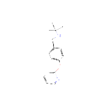 CC(C)(C)NCc1ccc(Oc2ccccn2)cc1